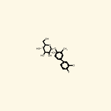 Cc1cc(-c2ccc(F)c(Cl)c2)ccc1O[C@H]1OC(CO)[C@@H](O)C(O)[C@]1(C)O